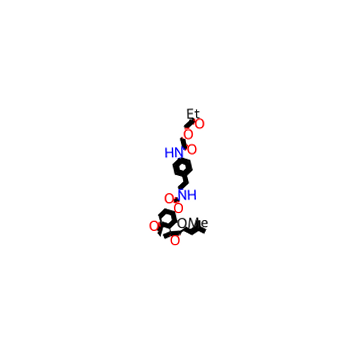 CCC(=O)COCC(=O)Nc1ccc(CCNC(=O)O[C@@H]2CC[C@]3(CO3)[C@@H](C3(C)O[C@@H]3CC=C(C)C)[C@@H]2OC)cc1